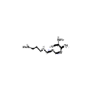 C=C(/N=C\N=C\NCCCNC)C(=O)NC